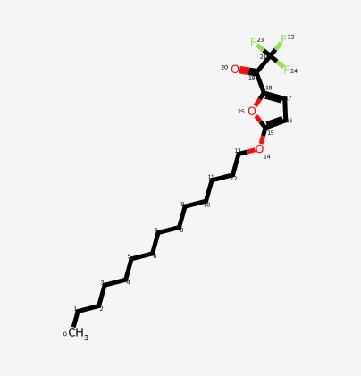 CCCCCCCCCCCCCCOc1ccc(C(=O)C(F)(F)F)o1